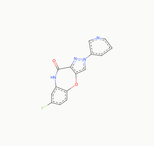 O=C1Nc2cc(F)ccc2Oc2cn(-c3cccnc3)nc21